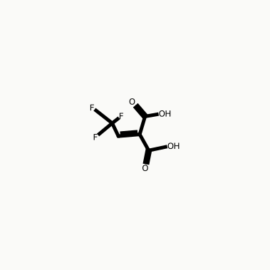 O=C(O)C(=CC(F)(F)F)C(=O)O